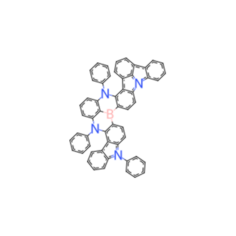 c1ccc(N2c3cccc4c3B(c3ccc5c(c32)c2ccccc2n5-c2ccccc2)c2ccc3c(c2N4c2ccccc2)c2cccc4c5ccccc5n3c42)cc1